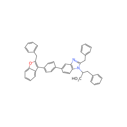 O=C(O)C(Cc1ccccc1)n1c(Cc2ccccc2)nc2cc(-c3ccc(-c4c(Cc5ccccc5)oc5ccccc45)cc3)ccc21